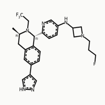 C[C@@H]1Cc2cc(-c3cn[nH]c3)ccc2[C@@H](c2ccc(NC3CN(CCCF)C3)cn2)N1CC(F)(F)F